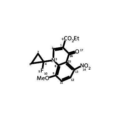 CCOC(=O)c1cn(C2(F)CC2)c2c(OC)ccc([N+](=O)[O-])c2c1=O